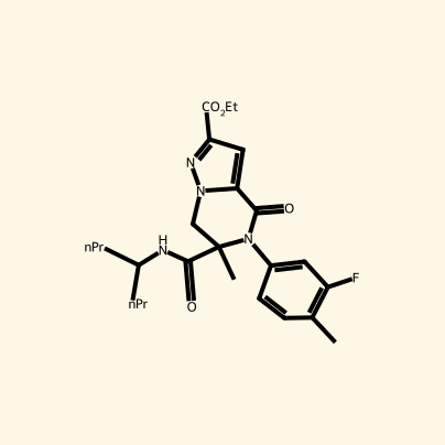 CCCC(CCC)NC(=O)C1(C)Cn2nc(C(=O)OCC)cc2C(=O)N1c1ccc(C)c(F)c1